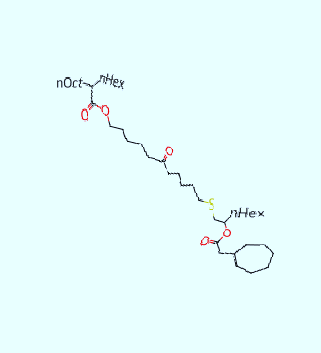 CCCCCCCCC(CCCCCC)C(=O)OCCCCCC(=O)CCCCCSCC(CCCCCC)OC(=O)CC1CCCCCC1